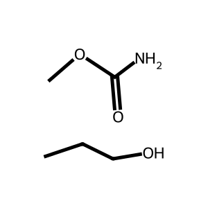 CCCO.COC(N)=O